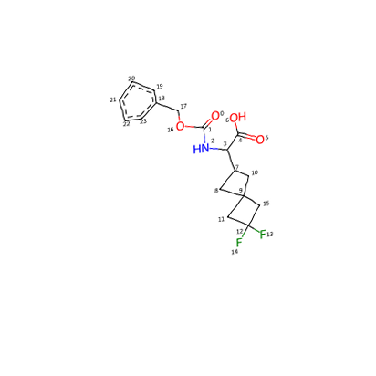 O=C(NC(C(=O)O)C1CC2(C1)CC(F)(F)C2)OCc1ccccc1